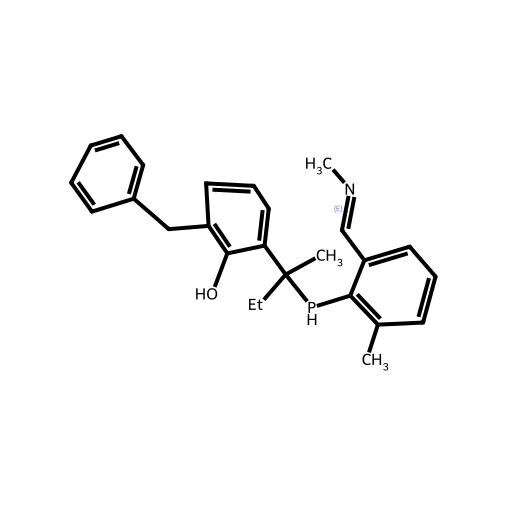 CCC(C)(Pc1c(C)cccc1/C=N/C)c1cccc(Cc2ccccc2)c1O